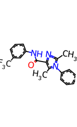 Cc1nc(C(=O)Nc2cccc(C(F)(F)F)c2)c(C)n1-c1ccccc1